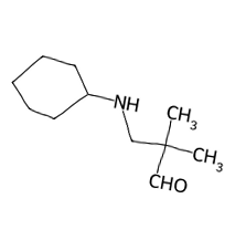 CC(C)(C=O)CNC1CCCCC1